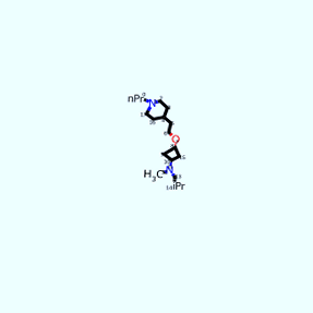 CCCN1CCC(CCO[C@H]2C[C@H](N(C)CC(C)C)C2)CC1